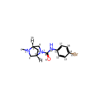 CN1C[C@@H]2C[C@H]1CN2C(=O)Nc1ccc(Br)cc1